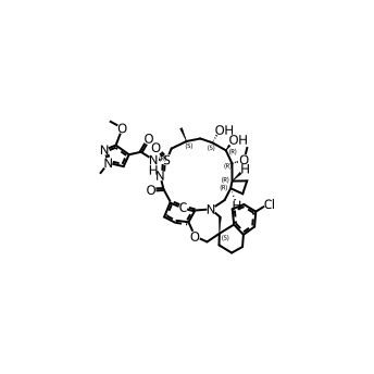 COc1nn(C)cc1C(=O)N[S@@]1(=O)=NC(=O)c2ccc3c(c2)N(C[C@@H]2CC[C@H]2[C@@H](OC)[C@H](O)[C@@H](O)C[C@H](C)C1)C[C@@]1(CCCc2cc(Cl)ccc21)CO3